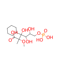 COC(C)(C(=O)O)C(O)(C1CCCCC1)C(O)C(O)COP(=O)(O)O